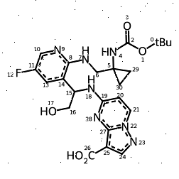 CC(C)(C)OC(=O)NC1(CNc2ncc(F)cc2C(CO)Nc2ccn3ncc(C(=O)O)c3n2)CC1